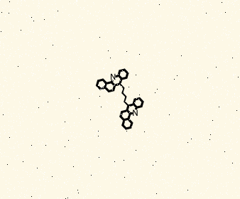 c1ccc2c(c1)ccc1c(CCCCc3c4ccccc4nc4c3ccc3ccccc34)c3ccccc3nc12